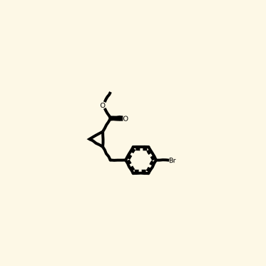 COC(=O)C1CC1Cc1ccc(Br)cc1